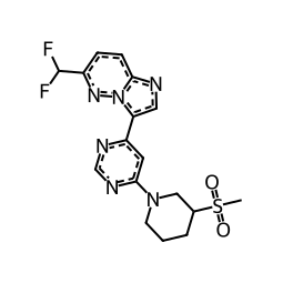 CS(=O)(=O)C1CCCN(c2cc(-c3cnc4ccc(C(F)F)nn34)ncn2)C1